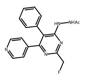 CC(=O)NNc1nc(CF)nc(-c2ccncc2)c1-c1ccccc1